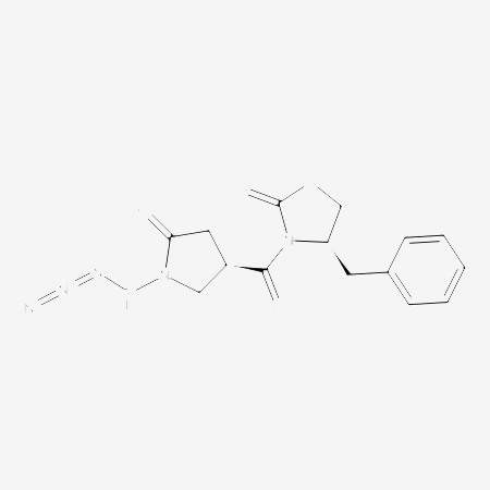 [N-]=[N+]=NPN1C[C@H](C(=O)N2C(=O)OC[C@H]2Cc2ccccc2)CC1=O